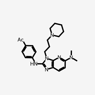 CC(=O)c1ccc(Nc2nc3ccc(N(C)C)nc3n2CCCN2CCCCC2)cc1